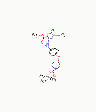 COC(=O)c1nc(Cl)c(C2CC2)nc1Nc1ccc(OC2CCN(C(=O)OC(C)(C)C)CC2)cc1